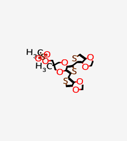 CC1(COS(C)(=O)=O)COc2c(-c3scc4c3OCCO4)sc(-c3scc4c3OCCO4)c2OC1